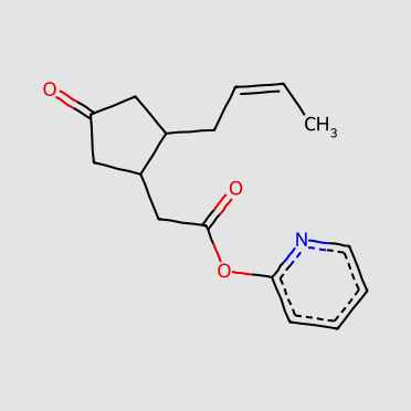 C/C=C\CC1CC(=O)CC1CC(=O)Oc1ccccn1